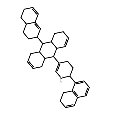 C1=Cc2cccc(C3CCC(C4C5C=CCCC5C(C5C=C6C=CCCC6CC5)C5CC=CCC54)=CN3)c2CC1